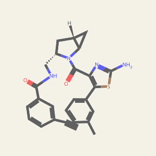 C#Cc1cccc(C(=O)NC[C@@H]2C[C@@H]3CC3N2C(=O)c2nc(N)sc2-c2cccc(C)c2)c1